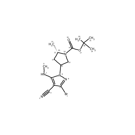 CNc1c(C#N)c(Br)nn1C1C[C@H](C)N(C(=O)OC(C)(C)C)C1